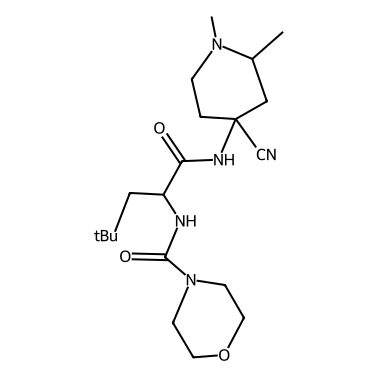 CC1CC(C#N)(NC(=O)C(CC(C)(C)C)NC(=O)N2CCOCC2)CCN1C